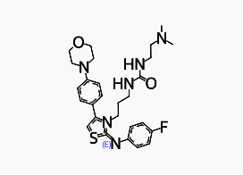 CN(C)CCNC(=O)NCCCn1c(-c2ccc(N3CCOCC3)cc2)cs/c1=N/c1ccc(F)cc1